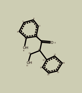 O=C(c1ccccc1O)C(CO)c1ccccc1